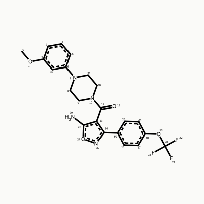 COc1cccc(N2CCN(C(=O)c3c(-c4ccc(OC(F)(F)F)cc4)noc3N)CC2)c1